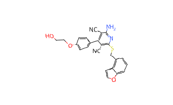 N#Cc1c(N)nc(SCc2cccc3occc23)c(C#N)c1-c1ccc(OCCO)cc1